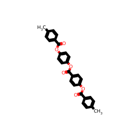 Cc1ccc(C(=O)Oc2ccc(OC(=O)c3ccc(OC(=O)c4ccc(C)cc4)cc3)cc2)cc1